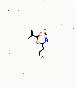 C=C(C)C(=O)OC(CCC(C)C)N=C=O